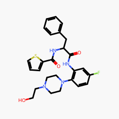 O=C(NC(Cc1ccccc1)C(=O)Nc1cc(F)ccc1N1CCN(CCO)CC1)c1cccs1